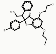 O=CCC(c1ccccc1)C1(c2ccc(Br)cc2)Oc2cc(OCCCl)cc(OCCCl)c2C1=O